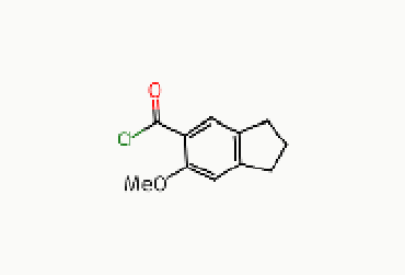 COc1cc2c(cc1C(=O)Cl)CCC2